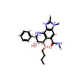 CCCCO[C@@H]1c2c(C(=O)NC)cc3c(nc(C)n3C)c2N[C@H](c2ccccc2)[C@H]1O